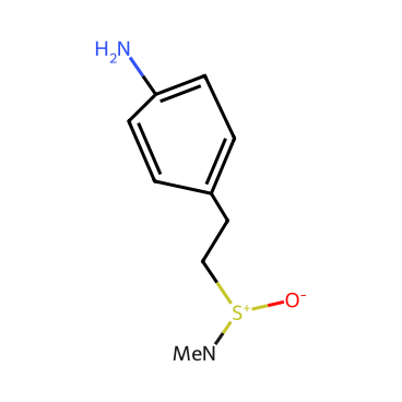 CN[S+]([O-])CCc1ccc(N)cc1